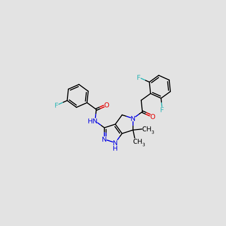 CC1(C)c2[nH]nc(NC(=O)c3cccc(F)c3)c2CN1C(=O)Cc1c(F)cccc1F